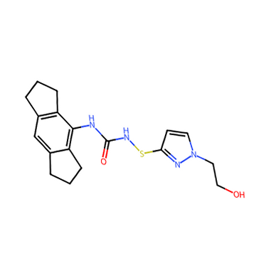 O=C(NSc1ccn(CCO)n1)Nc1c2c(cc3c1CCC3)CCC2